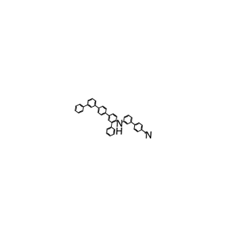 N#Cc1ccc(-c2cccc(Nc3ccc(-c4ccc(-c5cccc(-c6ccccc6)c5)cc4)cc3-c3ccccc3)c2)cc1